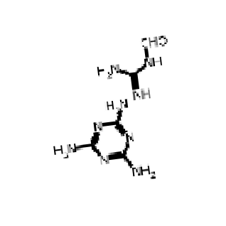 N=C(N)NC=O.Nc1nc(N)nc(N)n1